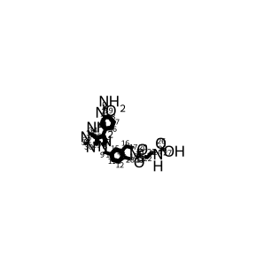 Nc1nc2cc(-c3nn(Cc4ccc5c(c4)CCN(S(=O)(=O)CCNC(=O)O)C5)c4ncnc(N)c34)ccc2o1